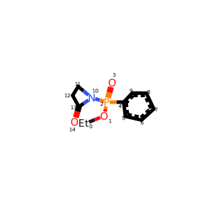 CCOP(=O)(c1ccccc1)N1CCC1=O